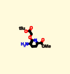 COC(=O)c1ccc(N)c(OCC(=O)OC(C)(C)C)n1